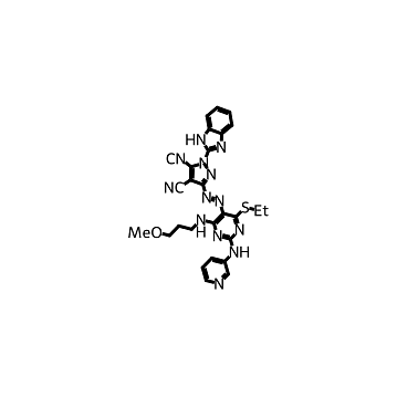 [C-]#[N+]c1c(C#N)c(N=Nc2c(NCCCOC)nc(Nc3cccnc3)nc2SCC)nn1-c1nc2ccccc2[nH]1